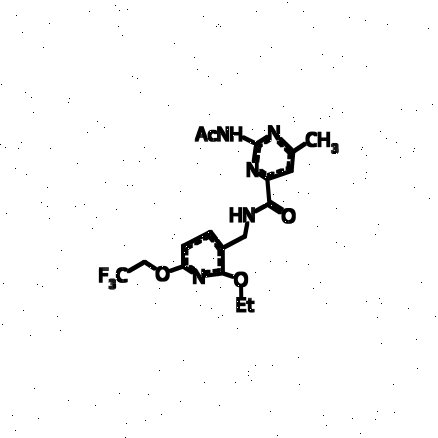 CCOc1nc(OCC(F)(F)F)ccc1CNC(=O)c1cc(C)nc(NC(C)=O)n1